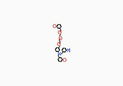 COc1cccc(COCCOCCOCc2cccc(N(Cc3cccc(OC)c3)Cc3cccc(N(C)C)c3)c2)c1